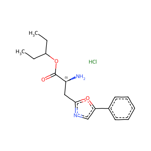 CCC(CC)OC(=O)[C@@H](N)Cc1ncc(-c2ccccc2)o1.Cl